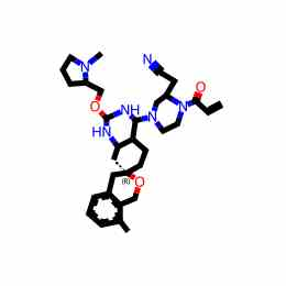 C=CC(=O)N1CCN(C2NC(OCC3CCCN3C)NC3C[C@@]4(CCC32)Cc2cccc(C)c2CO4)CC1CC#N